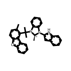 Cc1ccc2oc3ccccc3c2c1C(C)(C)N1c2ccccc2N(c2cc3ccccc3[nH]2)[C@H]1C